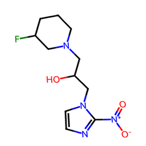 O=[N+]([O-])c1nccn1CC(O)CN1CCCC(F)C1